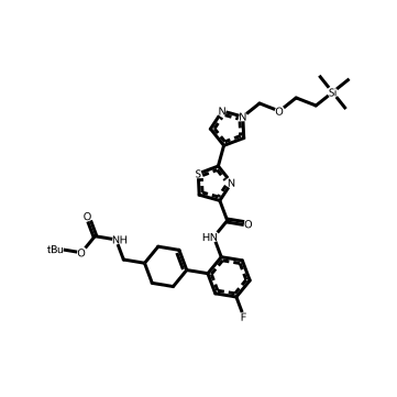 CC(C)(C)OC(=O)NCC1CC=C(c2cc(F)ccc2NC(=O)c2csc(-c3cnn(COCC[Si](C)(C)C)c3)n2)CC1